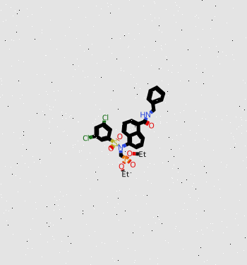 CCOP(=O)(CN(c1cccc2c(C(=O)NCc3ccccc3)cccc12)S(=O)(=O)c1cc(Cl)cc(Cl)c1)OCC